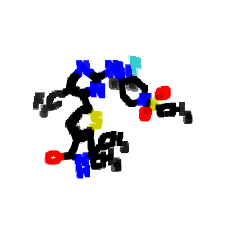 CC1(C)NC(=O)c2cc(-c3nc(N[C@@H]4CCN(S(C)(=O)=O)C[C@H]4F)ncc3C(F)(F)F)sc21